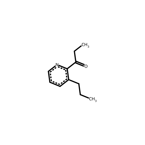 CCCc1cccnc1C(=O)CC